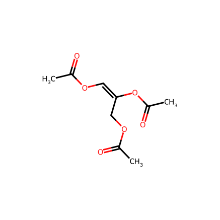 CC(=O)O/C=C(\COC(C)=O)OC(C)=O